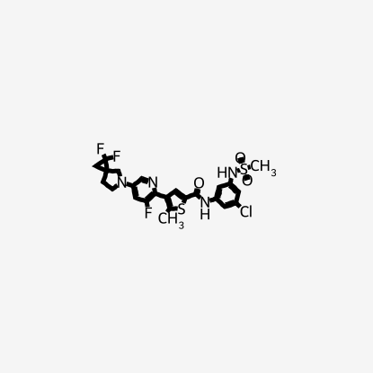 Cc1sc(C(=O)Nc2cc(Cl)cc(NS(C)(=O)=O)c2)cc1-c1ncc(N2CCC3(C2)CC3(F)F)cc1F